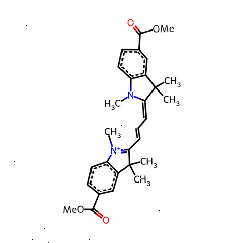 COC(=O)c1ccc2c(c1)C(C)(C)C(/C=C/C=C1\N(C)c3ccc(C(=O)OC)cc3C1(C)C)=[N+]2C